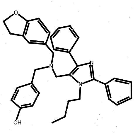 CCCCn1c(-c2ccccc2)nc(-c2ccccc2)c1CN(Cc1ccc(O)cc1)Cc1ccc2c(c1)CCO2